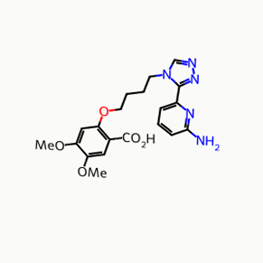 COc1cc(OCCCCn2cnnc2-c2cccc(N)n2)c(C(=O)O)cc1OC